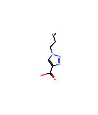 CCCn1cc(C(=O)O)nn1